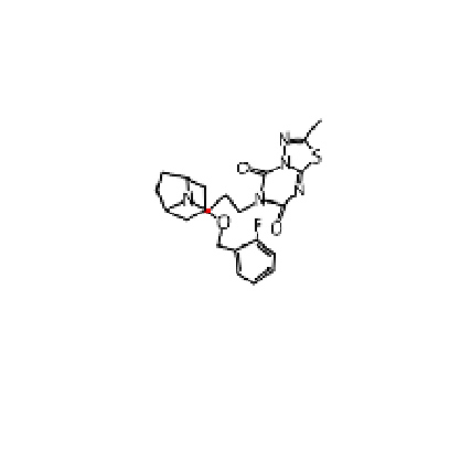 Cc1nn2c(=O)n(CCCN3C4CCC3CC(OCc3ccccc3F)C4)c(=O)nc2s1